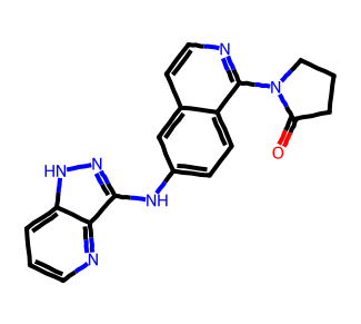 O=C1CCCN1c1nccc2cc(Nc3n[nH]c4cccnc34)ccc12